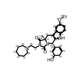 CCOc1ccc2[nH]c3c(c2c1)C[C@@]1(C)C(=O)N(CCN2CCCCCC2)C(=O)N1[C@@H]3C1=CC(O)CC=C1